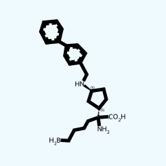 BCCCCC(N)(C(=O)O)[C@H]1CC[C@H](NCc2ccc(-c3ccccc3)cc2)C1